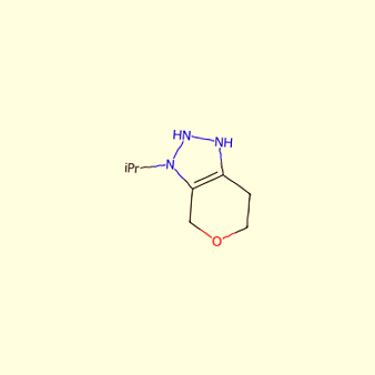 CC(C)N1NNC2=C1COCC2